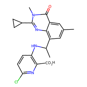 Cc1cc(C(C)Nc2ccc(Cl)nc2C(=O)O)c2nc(C3CC3)n(C)c(=O)c2c1